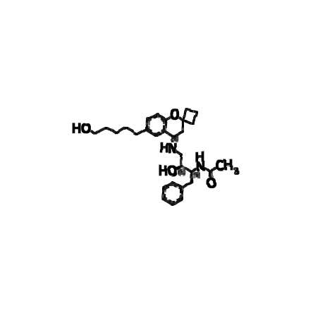 CC(=O)N[C@@H](Cc1ccccc1)[C@@H](O)CN[C@H]1CC2(CCC2)Oc2ccc(CCCCCO)cc21